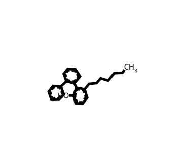 CCCCCCCc1cccc(O)c1-c1ccccc1-c1ccccc1